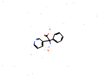 CS(=O)(=O)NC(C(=O)OBr)(c1ccccc1)c1cccnc1